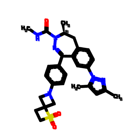 CNC(=O)N1N=C(c2ccc(N3CC4(CCS4(=O)=O)C3)cc2)c2cc(-n3nc(C)cc3C)ccc2C[C@H]1C